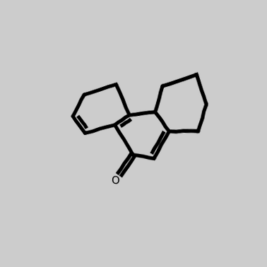 O=C1C=C2CCCCC2C2=C1C=CCC2